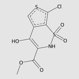 COC(=O)C1=C(O)c2csc(Cl)c2S(=O)(=O)N1